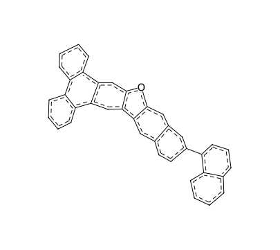 c1ccc2c(-c3ccc4cc5c(cc4c3)oc3cc4c6ccccc6c6ccccc6c4cc35)cccc2c1